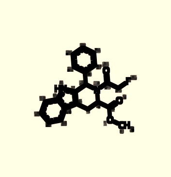 COC(=O)C1Cc2c([nH]c3ccccc23)C(c2ccccc2)N1C(=O)CF